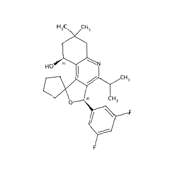 CC(C)c1nc2c(c3c1[C@@H](c1cc(F)cc(F)c1)OC31CCCC1)[C@@H](O)CC(C)(C)C2